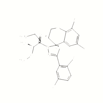 CO[C@@H](C)C(=O)N1N=C(c2cc(F)ccc2F)S[C@@]12c1cc(F)cc(F)c1OC[C@H]2CCN